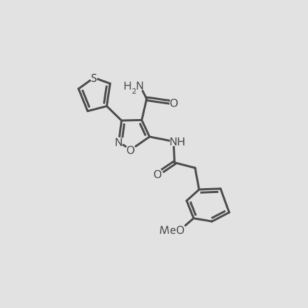 COc1cccc(CC(=O)Nc2onc(-c3ccsc3)c2C(N)=O)c1